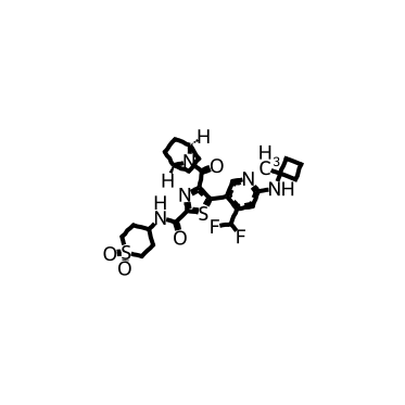 CC1(Nc2cc(C(F)F)c(-c3sc(C(=O)NC4CCS(=O)(=O)CC4)nc3C(=O)N3[C@H]4CC[C@H]3CC4)cn2)CCC1